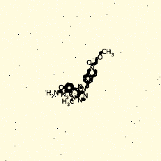 CCOCCC(=O)N1CCc2cc(Cn3nc(-c4ccc5oc(N)nc5c4)c4c(N(C)C)ncnc43)ccc2C1